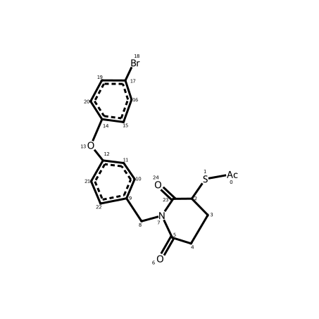 CC(=O)SC1CCC(=O)N(Cc2ccc(Oc3ccc(Br)cc3)cc2)C1=O